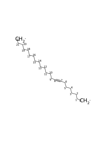 [CH2]CCCCCCC#CCCCCCCCCCCCCC[CH2]